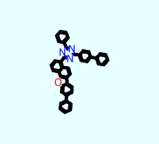 c1ccc(-c2ccc(-c3nc(-c4ccccc4)nc(-c4cccc5c4ccc4c6ccc(-c7ccccc7)cc6oc54)n3)cc2)cc1